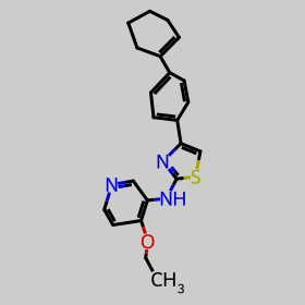 CCOc1ccncc1Nc1nc(-c2ccc(C3=CCCCC3)cc2)cs1